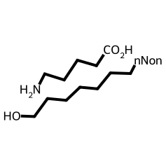 CCCCCCCCCCCCCCCCO.NCCCCC(=O)O